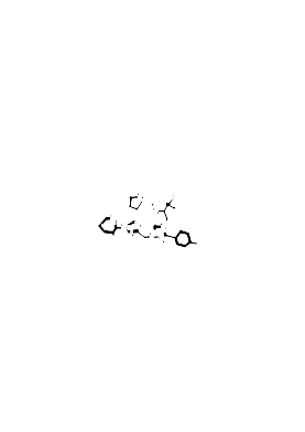 O=C1CC[C@@H](C(=O)NC(Cn2c(-c3ccc(Cl)cc3)nn(Cc3ncn(-c4ncccc4Cl)n3)c2=O)C(F)(F)F)N1